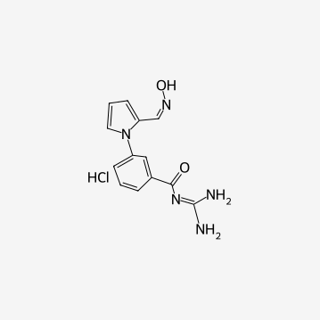 Cl.NC(N)=NC(=O)c1cccc(-n2cccc2/C=N\O)c1